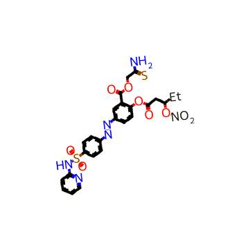 CCC(CC(=O)Oc1ccc(/N=N/c2ccc(S(=O)(=O)Nc3ccccn3)cc2)cc1C(=O)OCC(N)=S)O[N+](=O)[O-]